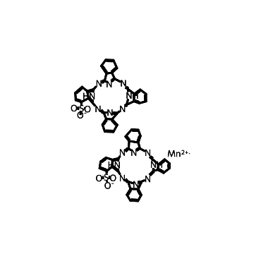 O=S(=O)([O-])c1cccc2c3nc4nc(nc5[nH]c(nc6nc(nc([nH]3)c12)-c1ccccc1-6)c1ccccc51)-c1ccccc1-4.O=S(=O)([O-])c1cccc2c3nc4nc(nc5[nH]c(nc6nc(nc([nH]3)c12)-c1ccccc1-6)c1ccccc51)-c1ccccc1-4.[Mn+2]